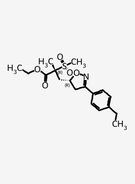 CCOC(=O)[C@@](C)(C[C@H]1CC(c2ccc(CC)cc2)=NO1)S(C)(=O)=O